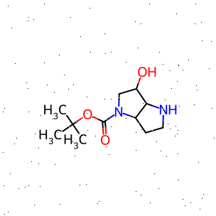 CC(C)(C)OC(=O)N1CC(O)C2NCCC21